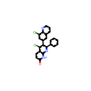 O=c1ccc2c(Cl)c(-c3cc(Cl)c4ncccc4c3)c(-c3ccccc3)nc2[nH]1